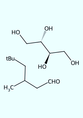 CC(CC=O)CC(C)(C)C.OC[C@@H](O)[C@@H](O)CO